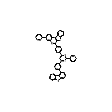 c1ccc(-c2ccc3c(c2)nc(-c2ccc(-c4cc(-c5cccc(-c6cccc7sc8ccccc8c67)c5)nc(-c5ccccc5)n4)cc2)c2sc4ccccc4c23)cc1